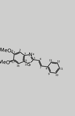 COc1cc2nc(C=Cc3ccccc3)sc2cc1OC